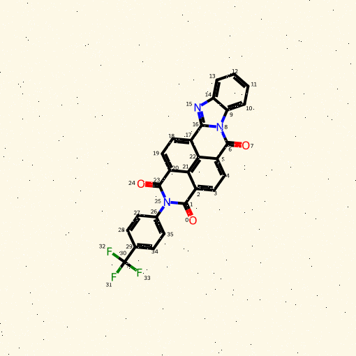 O=C1c2ccc3c(=O)n4c5ccccc5nc4c4ccc(c2c34)C(=O)N1c1ccc(C(F)(F)F)cc1